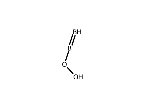 B=BOO